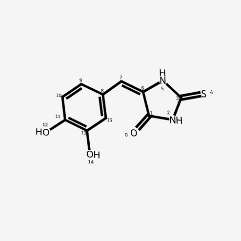 O=C1NC(=S)N/C1=C/c1ccc(O)c(O)c1